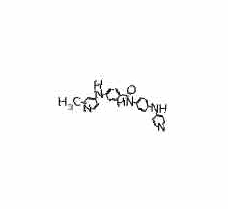 Cc1cc(Nc2ccc(C(=O)Nc3ccc(Nc4ccncc4)cc3)cc2)ccn1